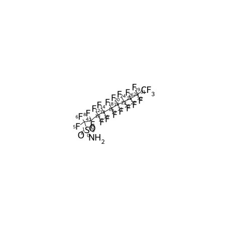 NS(=O)(=O)C(F)(F)C(F)(F)C(F)(F)C(F)(F)C(F)(F)C(F)(F)C(F)(F)C(F)(F)C(F)(F)C(F)(F)F